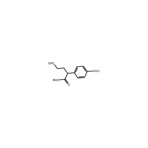 CCCCCCCCc1ccc(C(CCC=O)C(=O)OC)cc1